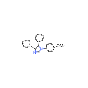 COc1ccc(-n2cnc(-c3ccccc3)c2-c2ccccc2)cc1